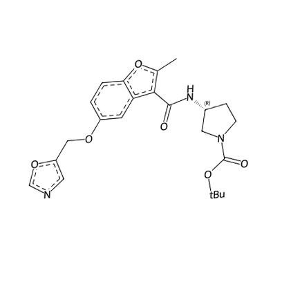 Cc1oc2ccc(OCc3cnco3)cc2c1C(=O)N[C@@H]1CCN(C(=O)OC(C)(C)C)C1